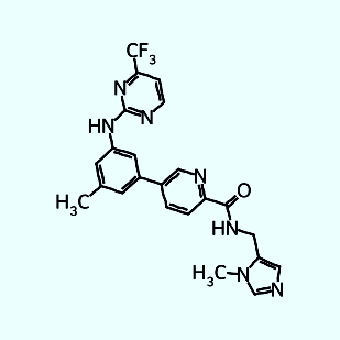 Cc1cc(Nc2nccc(C(F)(F)F)n2)cc(-c2ccc(C(=O)NCc3cncn3C)nc2)c1